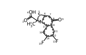 CC1(C(=O)O)Sc2cc(=O)c3cc(F)c(F)cc3n21